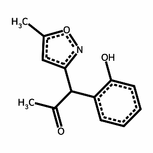 CC(=O)C(c1cc(C)on1)c1ccccc1O